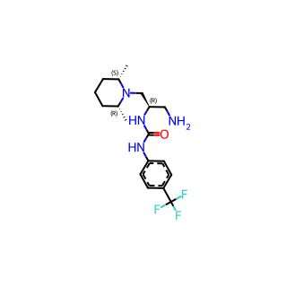 C[C@@H]1CCC[C@H](C)N1C[C@@H](CN)NC(=O)Nc1ccc(C(F)(F)F)cc1